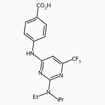 CCN(c1nc(Nc2ccc(C(=O)O)cc2)cc(C(F)(F)F)n1)C(C)C